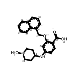 CN1CCC(Nc2ccc(C(=O)O)c(OCc3cccc4ccccc34)c2)CC1